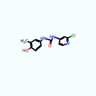 Cc1cc(NC(=O)Nc2ccnc(Cl)c2)ccc1O